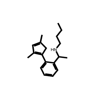 CCCCNC(C)c1ccccc1C1=C(C)C=C(C)C1